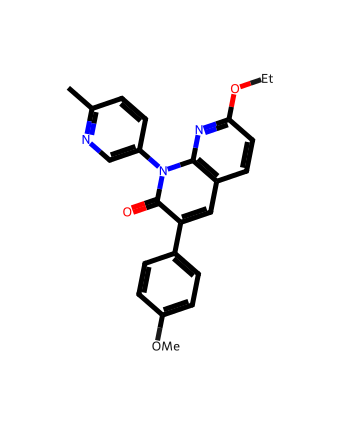 CCOc1ccc2cc(-c3ccc(OC)cc3)c(=O)n(-c3ccc(C)nc3)c2n1